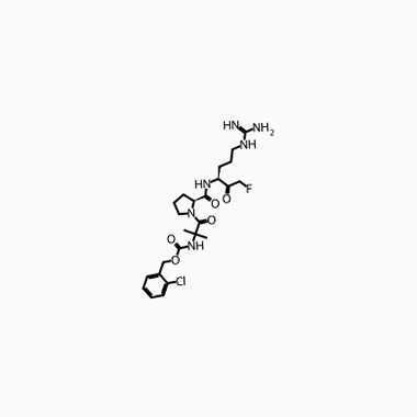 CC(C)(NC(=O)OCc1ccccc1Cl)C(=O)N1CCC[C@H]1C(=O)N[C@@H](CCCNC(=N)N)C(=O)CF